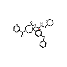 O=C(CC1(c2ccc(Oc3ccccc3)cc2)CCN(C(=O)c2cnccn2)CCS1(=O)=O)NOC1CCCCO1